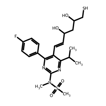 CC(C)c1nc(N(C)S(C)(=O)=O)nc(-c2ccc(F)cc2)c1/C=C/C(O)CC(O)CS